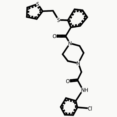 O=C(CN1CCN(C(=O)c2ccccc2SCc2cccs2)CC1)Nc1ccccc1Cl